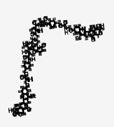 C=C1OCc2c(cc3n(c2=O)Cc2c-3nc3ccc(OCNC(=O)OCc4ccc(NC(=O)[C@H](C)NC(=O)[C@H](C)NC(=O)CN(CCN5C(=O)C=CC5=O)CC(=O)N[C@@H](C)C(=O)N[C@@H](C)C(=O)Nc5ccc(COC(=O)NCOc6ccc7nc8c(c(CC)c7c6)Cn6c-8cc7c(c6=O)COC(=O)[C@]7(O)CC)cc5)cc4)cc3c2CC)[C@@]1(O)CC